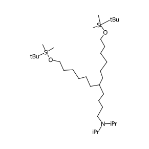 CC(C)N(CCCCC(CCCCCCO[Si](C)(C)C(C)(C)C)CCCCCCO[Si](C)(C)C(C)(C)C)C(C)C